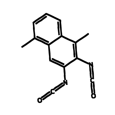 Cc1cccc2c(C)c(N=C=O)c(N=C=O)cc12